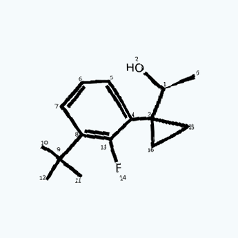 C[C@H](O)C1(c2cccc(C(C)(C)C)c2F)CC1